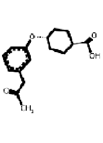 CC(=O)Cc1cccc(O[C@H]2CC[C@H](C(=O)O)CC2)c1